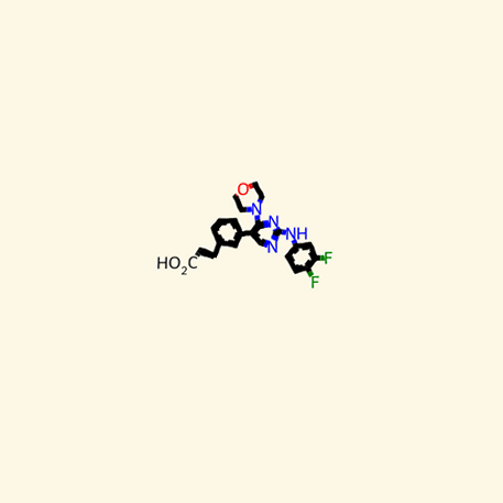 O=C(O)C=Cc1cccc(-c2cnc(Nc3ccc(F)c(F)c3)nc2N2CCOCC2)c1